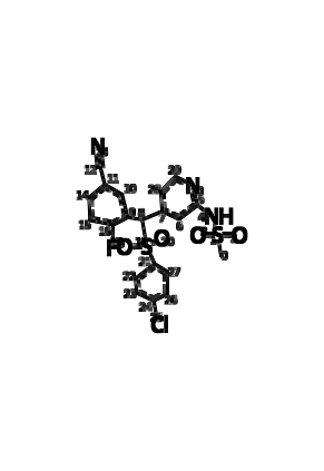 CS(=O)(=O)Nc1cc(C(c2cc(C#N)ccc2F)S(=O)(=O)c2ccc(Cl)cc2)ccn1